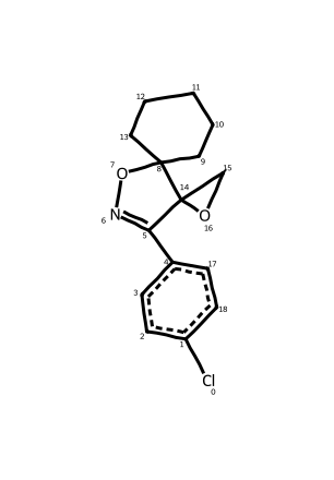 Clc1ccc(C2=NOC3(CCCCC3)C23CO3)cc1